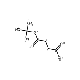 CC(O)(O)OC(=O)CCC(=O)O